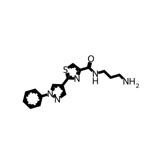 NCCCNC(=O)c1csc(-c2cnn(-c3ccccc3)c2)n1